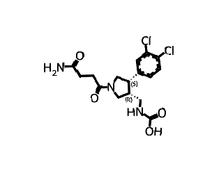 NC(=O)CCC(=O)N1C[C@@H](CNC(=O)O)[C@@H](c2ccc(Cl)c(Cl)c2)C1